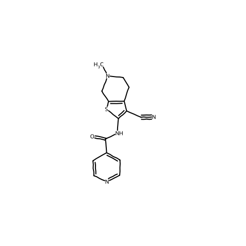 CN1CCc2c(sc(NC(=O)c3ccncc3)c2C#N)C1